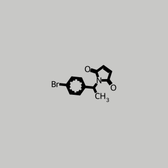 CC(c1ccc(Br)cc1)N1C(=O)C=CC1=O